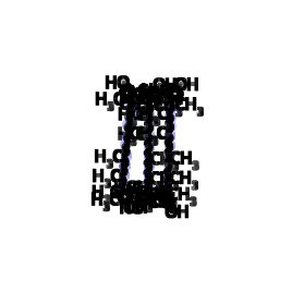 CC1=C(/C=C/C(C)=C/C=C/C(C)=C/C=C/C=C(C)/C=C/C=C(C)/C=C/C(=O)[C@]2(C)C[C@@H](O)CC2(C)C)C(C)(C)C[C@H](O)C1.CC1=C(/C=C/C(C)=C/C=C/C(C)=C/C=C/C=C(C)/C=C/C=C(C)/C=C/C2=C(C)C[C@@H](O)CC2(C)C)C(C)(C)C[C@H](O)C1.CC1=C[C@H](O)CC(C)(C)[C@H]1/C=C/C(C)=C/C=C/C(C)=C/C=C/C=C(C)/C=C/C=C(C)/C=C/C1=C(C)C[C@@H](O)CC1(C)C